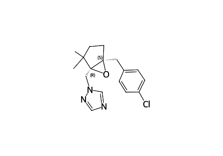 CC1(C)CC[C@@]2(Cc3ccc(Cl)cc3)O[C@@]12Cn1cncn1